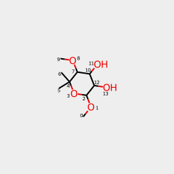 COC1OC(C)(C)C(OC)C(O)C1O